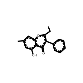 CCc1oc2cc(C)cc(O)c2c(=O)c1-c1ccccc1